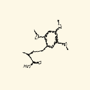 COc1cc(OC)c(OC)cc1CCC(C)C(=O)O